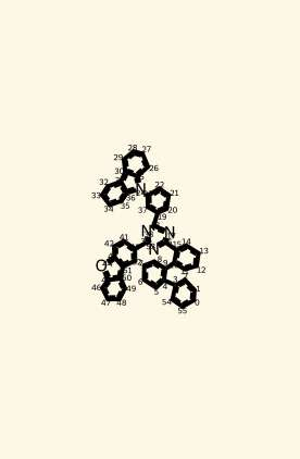 c1ccc(-c2ccccc2-c2ccccc2-c2nc(-c3cccc(-n4c5ccccc5c5ccccc54)c3)nc(-c3ccc4oc5ccccc5c4c3)n2)cc1